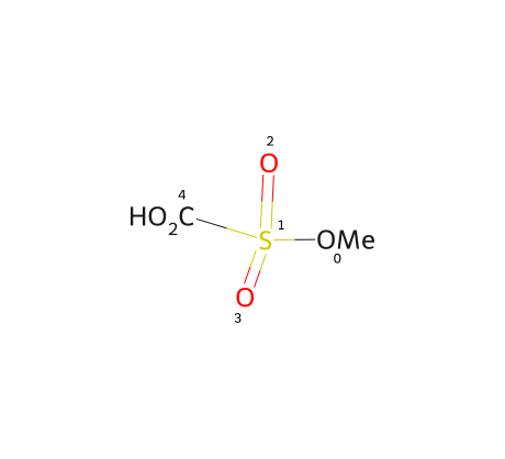 COS(=O)(=O)C(=O)O